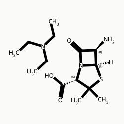 CC1(C)S[C@@H]2[C@H](N)C(=O)N2[C@H]1C(=O)O.CCN(CC)CC